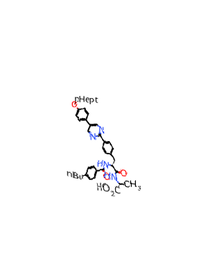 CCCCCCCOc1ccc(-c2cnc(-c3ccc(C[C@H](NC(=O)c4ccc(CCCC)cc4)C(=O)N[C@H](C)C(=O)O)cc3)nc2)cc1